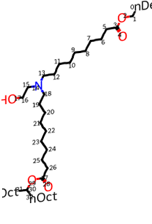 CCCCCCCCCCCOC(=O)CCCCCCCCCN(CCO)CCCCCCCCCC(=O)OC(CCCCCCCC)CCCCCCCC